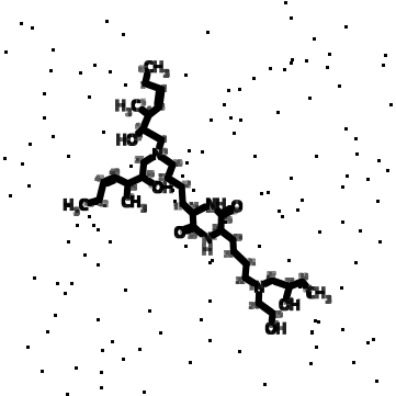 CC/C=C\C(C)C(O)CN(CCCCC1NC(=O)C(CCCCN(CCO)CC(O)CC)NC1=O)CC(O)C(C)/C=C\CC